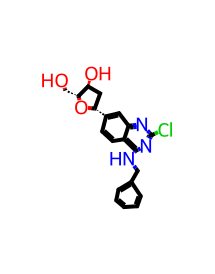 OC[C@H]1O[C@@H](c2ccc3c(NCc4ccccc4)nc(Cl)nc3c2)C[C@@H]1O